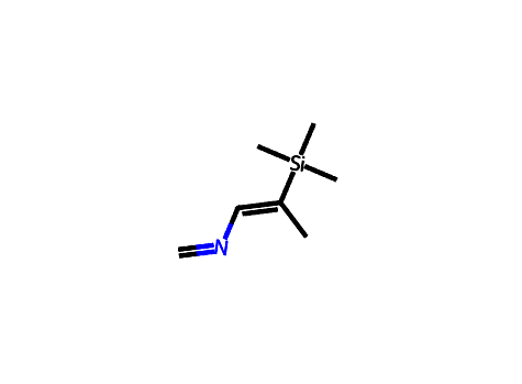 C=N/C=C(\C)[Si](C)(C)C